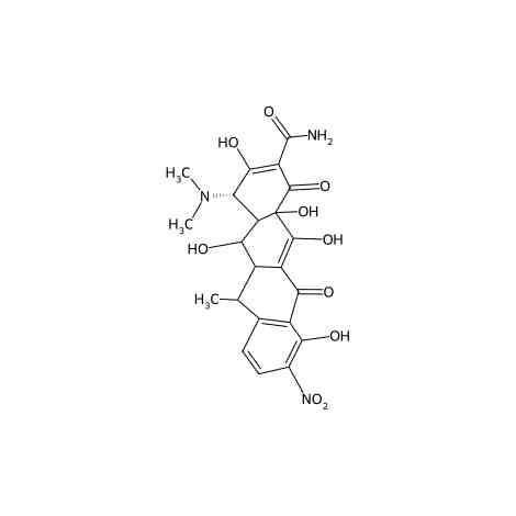 CC1c2ccc([N+](=O)[O-])c(O)c2C(=O)C2=C(O)C3(O)C(=O)C(C(N)=O)=C(O)[C@@H](N(C)C)C3C(O)C21